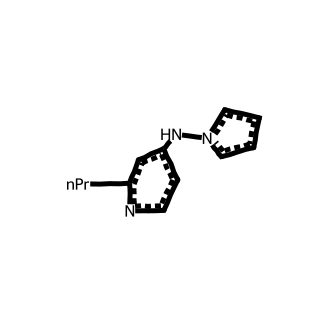 CCCc1cc(Nn2cccc2)ccn1